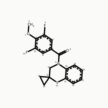 COc1c(F)cc(C(=O)N2CC3(CC3)Sc3ccccc32)cc1F